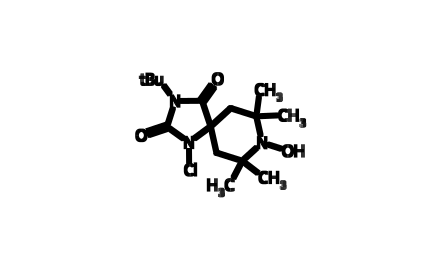 CC(C)(C)N1C(=O)N(Cl)C2(CC(C)(C)N(O)C(C)(C)C2)C1=O